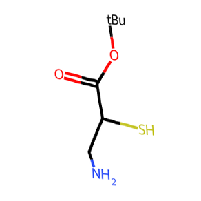 CC(C)(C)OC(=O)C(S)CN